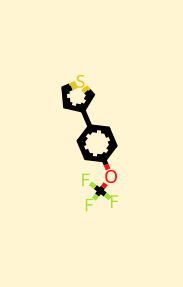 FC(F)(F)Oc1ccc(-c2ccsc2)cc1